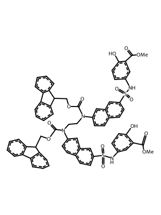 COC(=O)c1cc(NS(=O)(=O)c2ccc3ccc(N(CCN(C(=O)OCC4c5ccccc5-c5ccccc54)c4ccc5ccc(S(=O)(=O)Nc6ccc(O)c(C(=O)OC)c6)cc5c4)C(=O)OCC4c5ccccc5-c5ccccc54)cc3c2)ccc1O